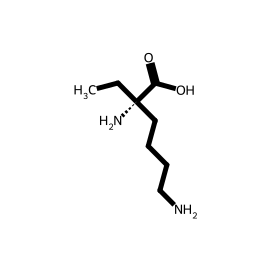 CC[C@](N)(CCCCN)C(=O)O